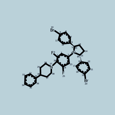 Fc1cc(N2[C@@H](c3ccc(Br)cc3)CC[C@@H]2c2ccc(Br)cc2)cc(F)c1N1CCC(c2ccccc2)CC1